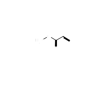 BOC(=O)C=C